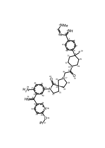 CN/C=N\C(=N)c1ccc(C2(F)CCN(C(=O)CN3CC[C@]4(CCN(c5ccc(N)c(C(=N)c6ccc(OC(C)C)nc6)c5)C4=O)C3)CC2)cc1